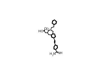 N=C(N)c1ccc(C#Cc2ccc3c(c2)CC(CC(=O)O)C(=O)N(CCc2ccccc2)C3)cc1